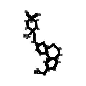 CC1(COc2ccc3c(c2)CCCc2ccc(CO)cc2-3)CCS(=O)(=O)CC1